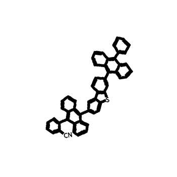 N#Cc1ccccc1-c1c2ccccc2c(-c2ccc3sc4cc(-c5c6ccccc6c(-c6ccccc6)c6ccccc56)ccc4c3c2)c2ccccc12